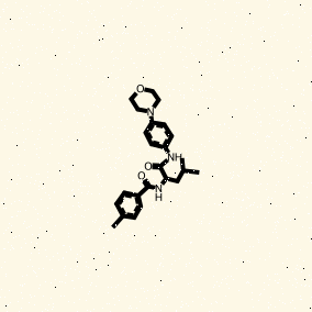 Cc1ccc(C(=O)NC(CC(C)C)C(=O)Nc2ccc(N3CCOCC3)cc2)cc1